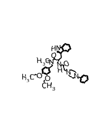 CCOc1ccc(CN(C)C(=O)C(Cc2c[nH]c3ccccc23)NC(=O)CN2CCN(c3ccccc3)CC2)cc1OCC